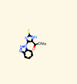 COC(=O)c1[nH]c(F)nc1-n1nnc2ccccc21